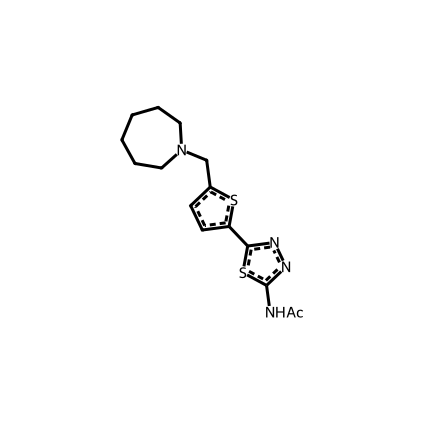 CC(=O)Nc1nnc(-c2ccc(CN3CCCCCC3)s2)s1